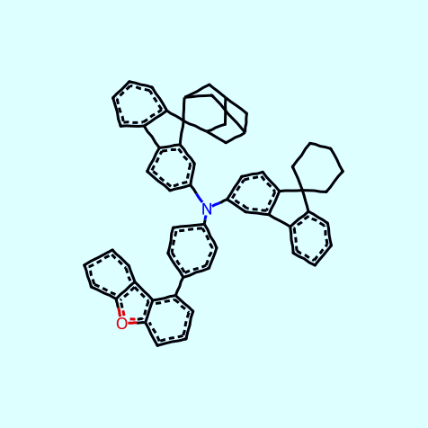 c1ccc2c(c1)-c1cc(N(c3ccc(-c4cccc5oc6ccccc6c45)cc3)c3ccc4c(c3)C3(c5ccccc5-4)C4CC5CC(C4)CC3C5)ccc1C21CCCCC1